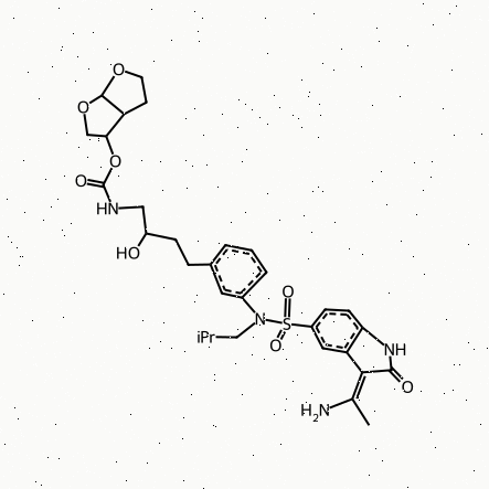 CC(N)=C1C(=O)Nc2ccc(S(=O)(=O)N(CC(C)C)c3cccc(CCC(O)CNC(=O)OC4COC5OCCC45)c3)cc21